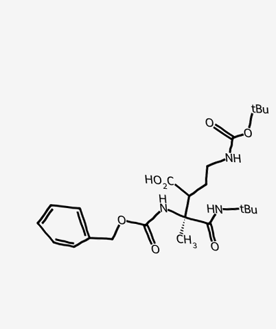 CC(C)(C)NC(=O)[C@@](C)(NC(=O)OCc1ccccc1)C(CCNC(=O)OC(C)(C)C)C(=O)O